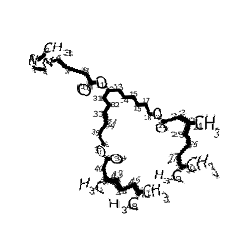 Cc1nccn1CCCC(=O)OC(CCCCCCOC(=O)CC(C)CCCC(C)C)CCCCCCOC(=O)CC(C)CCCC(C)C